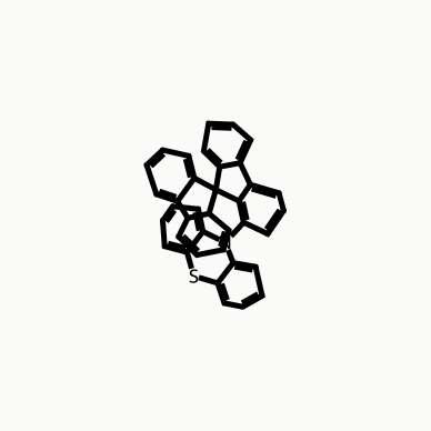 C1=CC2c3ccccc3C3(c4ccccc4-c4cccc(N5c6ccccc6Sc6ccccc65)c43)C2C=C1